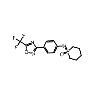 O=S1(=Nc2ccc(-c3noc(C(F)(F)F)n3)cc2)CCCCC1